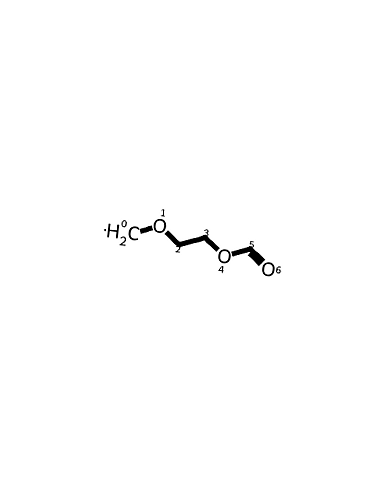 [CH2]OCCOC=O